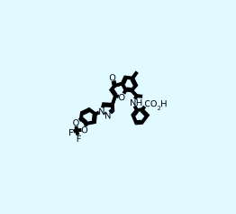 Cc1cc(C(C)Nc2ccccc2C(=O)O)c2oc(-c3cnn(-c4ccc5c(c4)OC(F)(F)O5)c3)cc(=O)c2c1